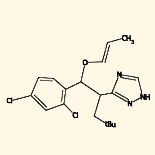 CC=COC(c1ccc(Cl)cc1Cl)C(CC(C)(C)C)c1nc[nH]n1